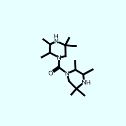 CC1NC(C)(C)CN(C(=O)N2CC(C)(C)NC(C)C2C)C1C